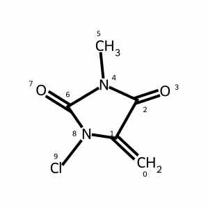 C=C1C(=O)N(C)C(=O)N1Cl